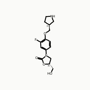 O=C1O[C@@H](CO)CN1c1ccc(OC[C@H]2CCNC2)c(F)c1